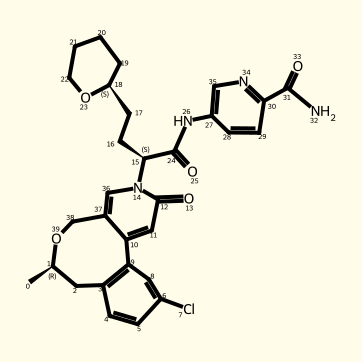 C[C@@H]1Cc2ccc(Cl)cc2-c2cc(=O)n([C@@H](CC[C@@H]3CCCCO3)C(=O)Nc3ccc(C(N)=O)nc3)cc2CO1